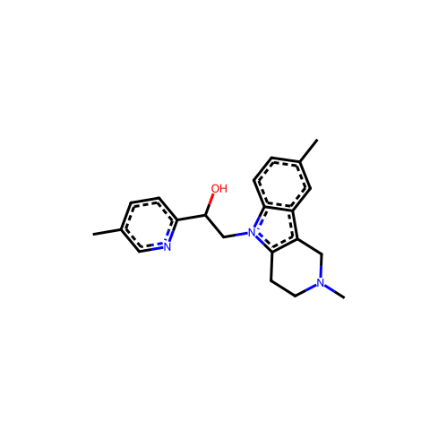 Cc1ccc(C(O)Cn2c3c(c4cc(C)ccc42)CN(C)CC3)nc1